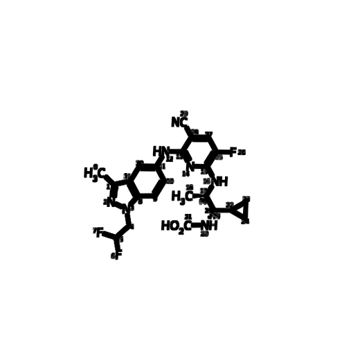 Cc1nn(CC(F)F)c2ccc(Nc3nc(N[C@H](C)[C@@H](NC(=O)O)C4CC4)c(F)cc3C#N)cc12